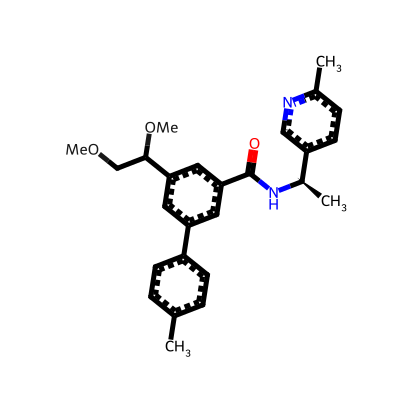 COCC(OC)c1cc(C(=O)N[C@H](C)c2ccc(C)nc2)cc(-c2ccc(C)cc2)c1